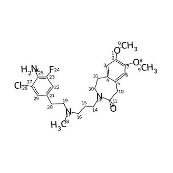 COc1cc2c(cc1OC)CC(=O)N(CCCN(C)CCc1cc(F)c(N)c(Cl)c1)CC2